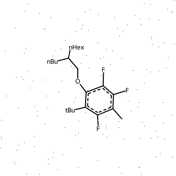 CCCCCCC(CCCC)COc1c(F)c(F)c(C)c(F)c1C(C)(C)C